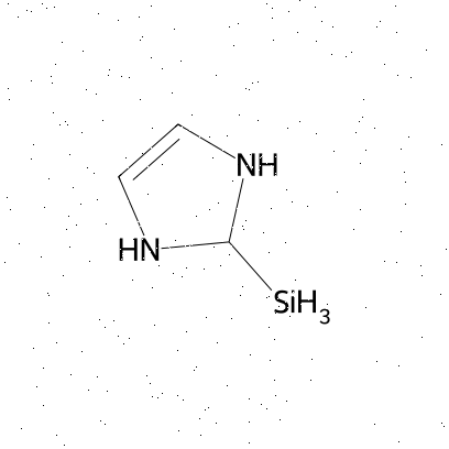 [SiH3]C1NC=CN1